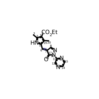 CCOC(=O)c1c(C)[nH]c(/C=C2\C=NN(c3cnccn3)C2=O)c1C